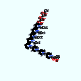 CCCCCCCC[n+]1ccccc1.CCCCCCCC[n+]1ccccc1.CCCCCCCC[n+]1ccccc1.CCCCCCCC[n+]1ccccc1.CCCCCCCC[n+]1ccccc1.CCCCCCCC[n+]1ccccc1.CCCCCCCC[n+]1ccccc1.CCCCCCCC[n+]1ccccc1.N#CB([O-])[O-].N#CB([O-])[O-].N#CB([O-])[O-].N#CB([O-])[O-]